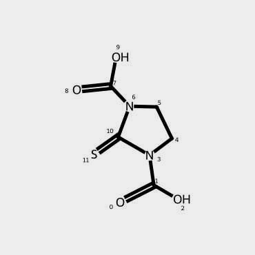 O=C(O)N1CCN(C(=O)O)C1=S